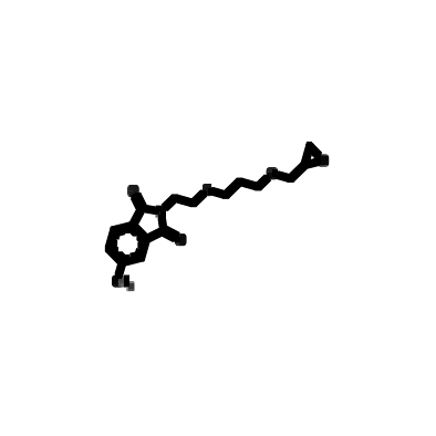 Cc1ccc2c(c1)C(=O)N(CCSCCCOCC1CO1)C2=O